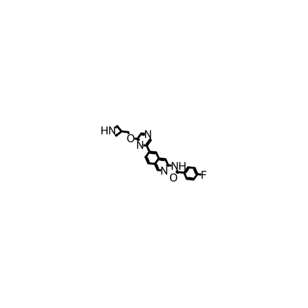 O=C(Nc1cc2cc(-c3cncc(OCC4CNC4)n3)ccc2cn1)c1ccc(F)cc1